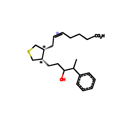 CC(c1ccccc1)C(O)CC[C@@H]1CSC[C@@H]1C/C=C\CCCC(=O)O